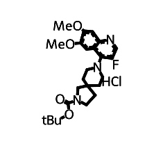 COc1cc2ncc(F)c(N3CCC4(CCN(C(=O)OC(C)(C)C)C4)CC3)c2cc1OC.Cl